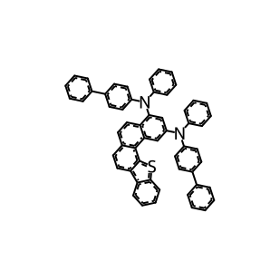 c1ccc(-c2ccc(N(c3ccccc3)c3cc(N(c4ccccc4)c4ccc(-c5ccccc5)cc4)c4ccc5ccc6c7ccccc7sc6c5c4c3)cc2)cc1